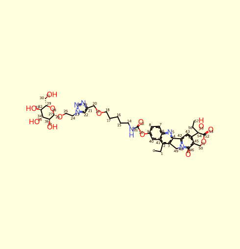 CCc1c2c(nc3ccc(OC(=O)NCCCCCOCc4cn(CCO[C@H]5O[C@@H](CO)[C@H](O)[C@@H](O)[C@@H]5O)nn4)cc13)-c1cc3c(c(=O)n1C2)COC(=O)[C@]3(O)CC